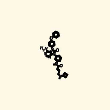 CN(C(=O)/C=C/CN(C)C1CCC1)c1cccc(-n2c(=O)n(-c3ccc(Oc4ccccc4)cc3)c3c(N)ncnc32)c1